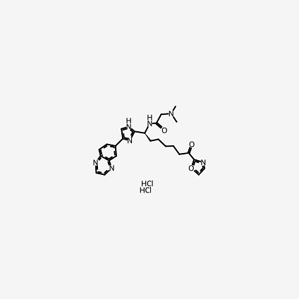 CN(C)CC(=O)N[C@@H](CCCCCC(=O)c1ncco1)c1nc(-c2ccc3nccnc3c2)c[nH]1.Cl.Cl